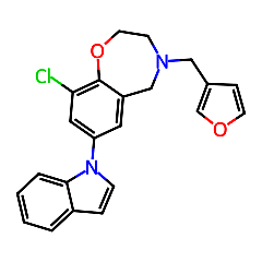 Clc1cc(-n2ccc3ccccc32)cc2c1OCCN(Cc1ccoc1)C2